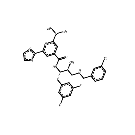 CCCN(CCC)c1cc(C(=O)N[C@@H](Cc2cc(F)cc(F)c2)[C@@H](O)CNCc2cccc(CC)c2)cc(-c2nccs2)n1